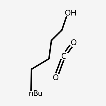 CCCCCCCCO.O=C=O